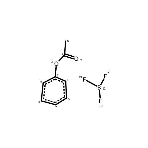 CC(=O)Oc1ccccc1.FB(F)F